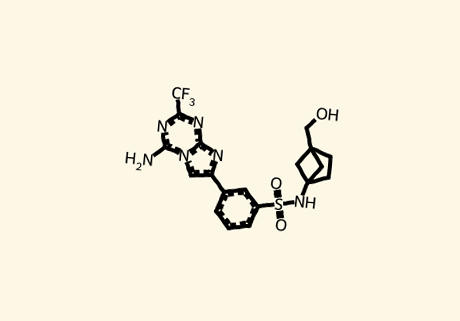 Nc1nc(C(F)(F)F)nc2nc(-c3cccc(S(=O)(=O)NC45CCC(CO)(C4)C5)c3)cn12